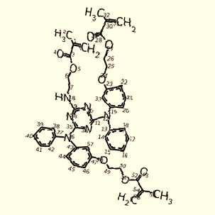 C=C(C)C(=O)OCCNc1nc(N(c2ccccc2)c2cccc(OCCOC(=O)C(=C)C)c2)nc(N(c2ccccc2)c2cccc(OCCOC(=O)C(=C)C)c2)n1